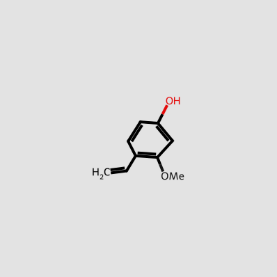 C=Cc1ccc(O)cc1OC